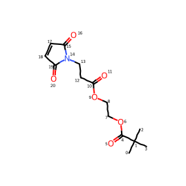 CC(C)(C)C(=O)OCCOC(=O)CCN1C(=O)C=CC1=O